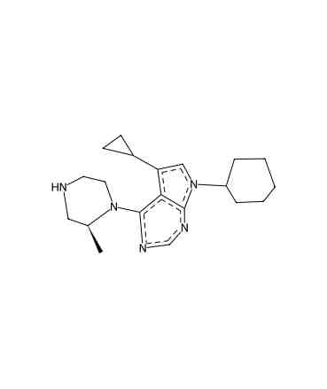 C[C@H]1CNCCN1c1ncnc2c1c(C1CC1)cn2C1CCCCC1